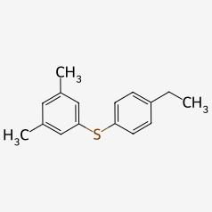 CCc1ccc(Sc2cc(C)cc(C)c2)cc1